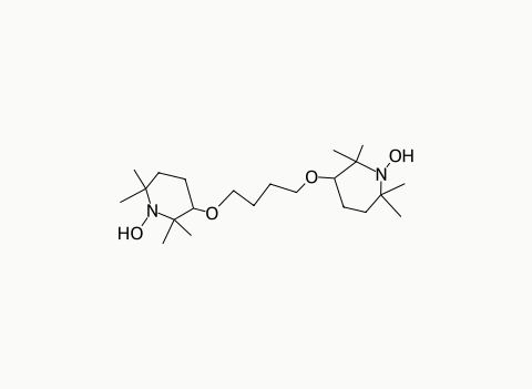 CC1(C)CCC(OCCCCOC2CCC(C)(C)N(O)C2(C)C)C(C)(C)N1O